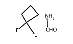 FC1(F)CCC1.NC=O